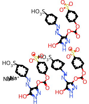 O=C(Oc1ccc(S(=O)(=O)[O-])cc1)Oc1n[nH]c(O)c1N=Nc1ccc(S(=O)(=O)O)cc1.O=C(Oc1ccc(S(=O)(=O)[O-])cc1)Oc1n[nH]c(O)c1N=Nc1ccc(S(=O)(=O)O)cc1.O=C(Oc1ccc(S(=O)(=O)[O-])cc1)Oc1n[nH]c(O)c1N=Nc1ccc(S(=O)(=O)O)cc1.[Na+].[Na+].[Na+]